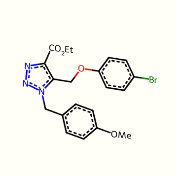 CCOC(=O)c1nnn(Cc2ccc(OC)cc2)c1COc1ccc(Br)cc1